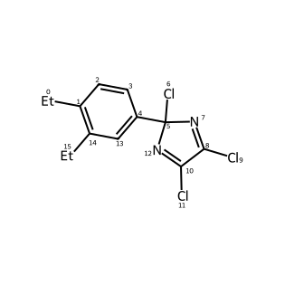 CCc1ccc(C2(Cl)N=C(Cl)C(Cl)=N2)cc1CC